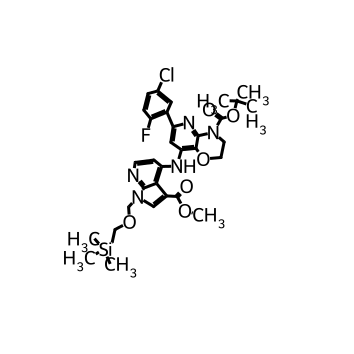 COC(=O)c1cn(COCC[Si](C)(C)C)c2nccc(Nc3cc(-c4cc(Cl)ccc4F)nc4c3OCCN4C(=O)OC(C)(C)C)c12